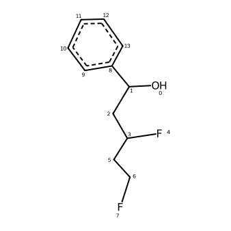 OC(CC(F)CCF)c1ccccc1